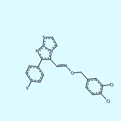 Fc1ccc(-c2nc3sccn3c2C=NOCc2ccc(Cl)c(Cl)c2)cc1